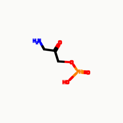 NCC(=O)CO[PH](=O)O